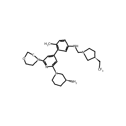 Cc1ccc(NCN2CC[C@@H](CC(F)(F)F)C2)cc1-c1cc(N2CCOCC2)nc(N2CCC[C@H](N)C2)c1